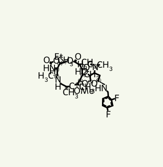 CC[C@@H]1OC(=O)C(C)C(=O)[C@H](C)[C@@H](O[C@@H]2O[C@H](CNCc3ccc(F)cc3F)CC(N(C)C)C2O)[C@](C)(OC)C[C@@H](C)CN[C@H](C)[C@H]2NC(=O)O[C@]12C